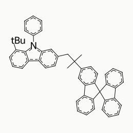 CC(C)(C)c1cccc2c3ccc(CC(C)(C)c4ccc5c(c4)-c4ccccc4C54c5ccccc5-c5ccccc54)cc3n(-c3ccccc3)c12